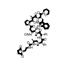 CC[C@H](C)[C@@H]([C@@H](CC(=O)N1CCC[C@H]1[C@H](OC)[C@@H](C)C(=O)N[C@@H](Cc1c[nH]c2ccccc12)C(=O)N1CCCCO1)OC)N(C)C(=O)[C@@H](NC(=O)[C@H](C(C)C)N(C)C[C@H](C)NC(=O)NCCN1C(=O)C=CC1=O)C(C)C